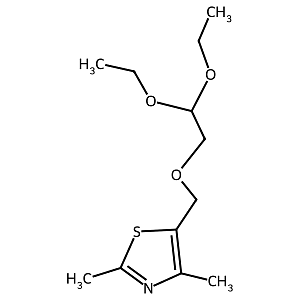 CCOC(COCc1sc(C)nc1C)OCC